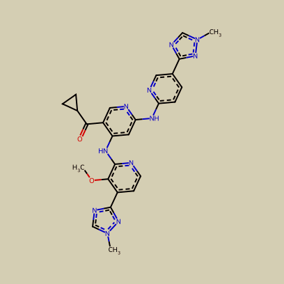 COc1c(-c2ncn(C)n2)ccnc1Nc1cc(Nc2ccc(-c3ncn(C)n3)cn2)ncc1C(=O)C1CC1